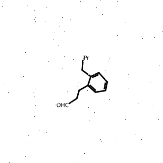 CC(C)Cc1ccccc1CC[C]=O